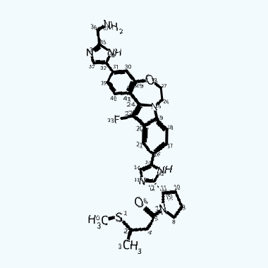 CSC(C)CC(=O)N1CCC[C@H]1c1ncc(-c2ccc3c(c2)c(F)c2n3CCOc3cc(-c4cnc(CN)[nH]4)ccc3-2)[nH]1